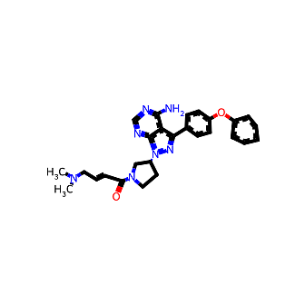 CN(C)C/C=C/C(=O)N1CC[C@@H](n2nc(-c3ccc(Oc4ccccc4)cc3)c3c(N)ncnc32)C1